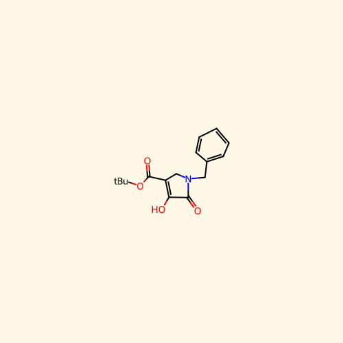 CC(C)(C)OC(=O)C1=C(O)C(=O)N(Cc2ccccc2)C1